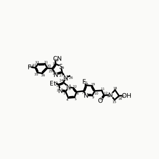 CCc1nc2ccc(-c3ncc(CC(=O)N4CC(O)C4)cc3F)cn2c1N(C)c1nc(-c2ccc(F)cc2)c(C#N)s1